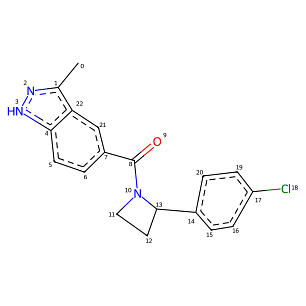 Cc1n[nH]c2ccc(C(=O)N3CCC3c3ccc(Cl)cc3)cc12